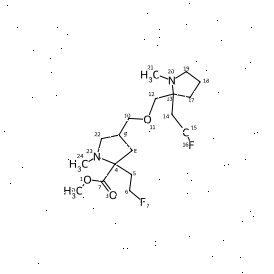 COC(=O)C1(CCF)CC(COCC2(CCF)CCCN2C)CN1C